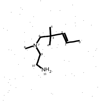 CC=CC(C)(C)CN(C)CCN